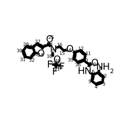 Nc1ccccc1NC(=O)c1ccc(OCCN(COC(F)(F)F)C(=O)c2cc3ccccc3o2)cc1